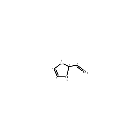 O=[C]C1OC=CO1